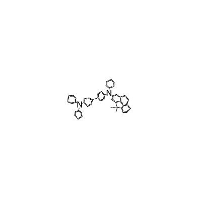 CC1(C)c2cccc3ccc4cc(N(c5ccccc5)c5ccc(-c6ccc(N(c7ccccc7)c7ccccc7)cc6)cc5)cc1c4c23